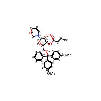 COc1ccc(C(OC[C@H]2O[C@@H](N3C=CCOC3)[C@@H](O)C2OC(=O)CCC(C)=O)(c2ccccc2)c2ccc(OC)cc2)cc1